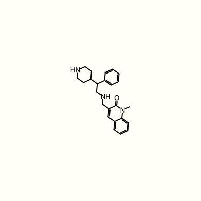 Cn1c(=O)c(CNCC(c2ccccc2)C2CCNCC2)cc2ccccc21